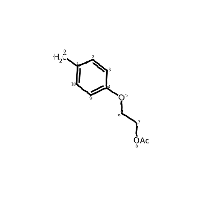 [CH2]c1ccc(OCCOC(C)=O)cc1